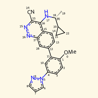 COc1ccc(-n2cccn2)cc1-c1ccc2c(N[C@H](C)C3CC3)c(C#N)nnc2c1